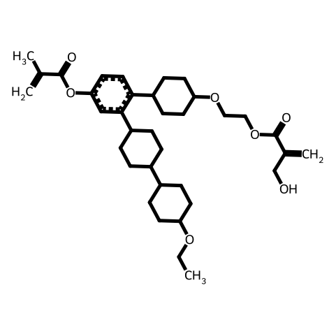 C=C(C)C(=O)Oc1ccc(C2CCC(OCCOC(=O)C(=C)CO)CC2)c(C2CCC(C3CCC(OCC)CC3)CC2)c1